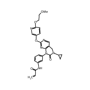 C=CC(=O)Nc1cccc(N2C(=O)N(C3CC3)Cc3cnc(Oc4ccc(OCCOC)nc4)nc32)c1